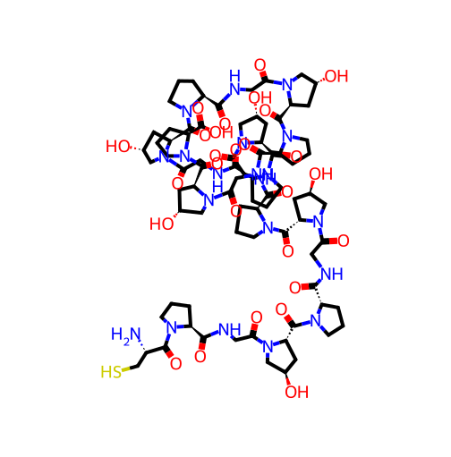 N[C@@H](CS)C(=O)N1CCC[C@H]1C(=O)NCC(=O)N1C[C@H](O)C[C@H]1C(=O)N1CCC[C@H]1C(=O)NCC(=O)N1C[C@H](O)C[C@H]1C(=O)N1CCC[C@H]1C(=O)NCC(=O)N1C[C@H](O)C[C@H]1C(=O)N1CCC[C@H]1C(=O)NCC(=O)N1C[C@H](O)C[C@H]1C(=O)N1CCC[C@H]1C(=O)NCC(=O)N1C[C@H](O)C[C@H]1C(=O)N1CCC[C@H]1C(=O)NCC(=O)N1C[C@H](O)C[C@H]1C(=O)N1CCC[C@H]1C(=O)O